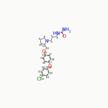 NC(=O)NCCCN1CCCC1COc1ccc(Oc2ccc(Cl)cc2)cc1